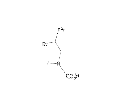 CCCC(CC)CN(I)C(=O)O